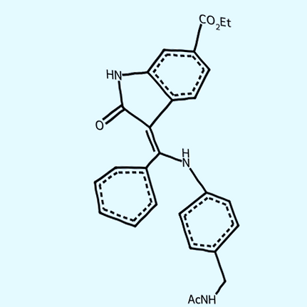 CCOC(=O)c1ccc2c(c1)NC(=O)C2=C(Nc1ccc(CNC(C)=O)cc1)c1ccccc1